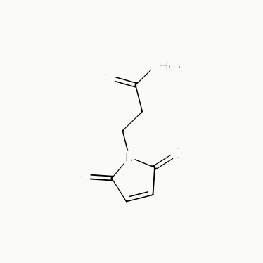 CCCCCCC(=O)CCN1C(=O)C=CC1=O